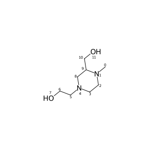 CN1CCN(CCO)CC1CO